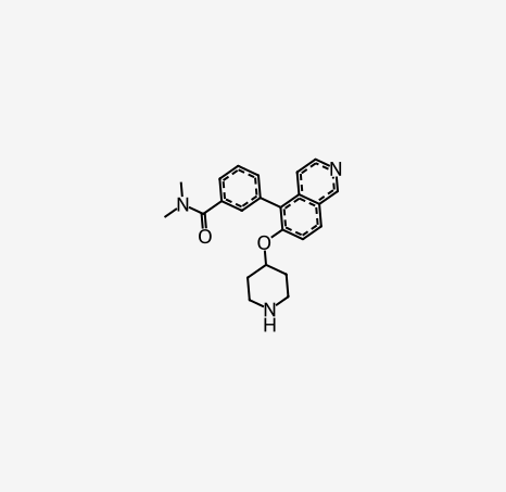 CN(C)C(=O)c1cccc(-c2c(OC3CCNCC3)ccc3cnccc23)c1